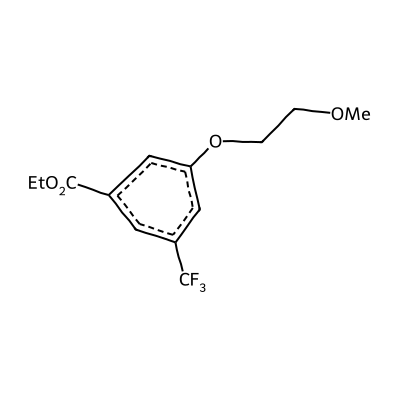 CCOC(=O)c1cc(OCCOC)cc(C(F)(F)F)c1